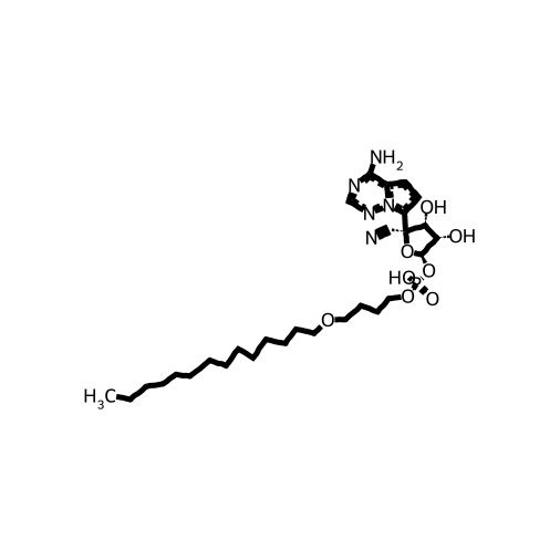 CCCCCCCCCCCCCCOCCCCOP(=O)(O)O[C@H]1O[C@@](C#N)(c2ccc3c(N)ncnn23)[C@H](O)[C@@H]1O